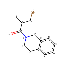 CC(CS)C(=O)N1CCc2ccccc2C1